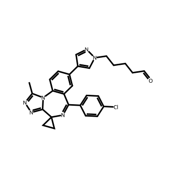 Cc1nnc2n1-c1ccc(-c3cnn(CCCCC=O)c3)cc1C(c1ccc(Cl)cc1)=NC21CC1